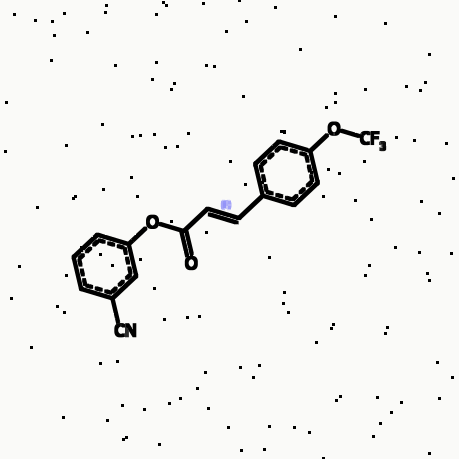 N#Cc1cccc(OC(=O)/C=C/c2ccc(OC(F)(F)F)cc2)c1